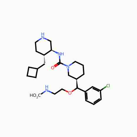 O=C(O)NCCOC(c1cccc(Cl)c1)[C@@H]1CCCN(C(=O)N[C@@H]2CNCC[C@H]2CC2CCC2)C1